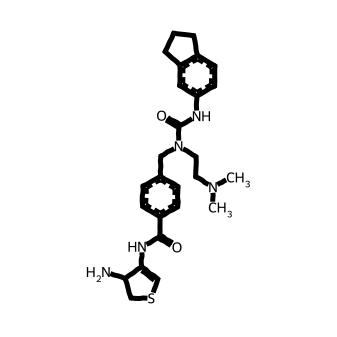 CN(C)CCN(Cc1ccc(C(=O)NC2=CSCC2N)cc1)C(=O)Nc1ccc2c(c1)CCC2